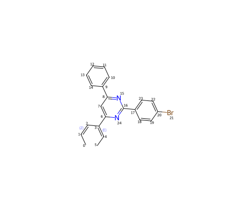 C/C=C\C(=C/C)c1cc(-c2ccccc2)nc(-c2ccc(Br)cc2)n1